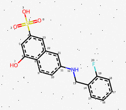 O=S(=O)(O)c1cc(O)c2ccc(NCc3ccccc3F)cc2c1